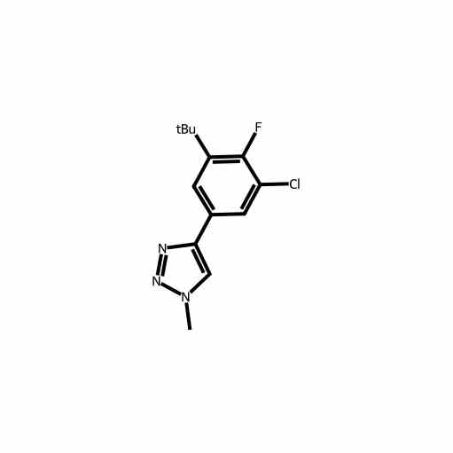 Cn1cc(-c2cc(Cl)c(F)c(C(C)(C)C)c2)nn1